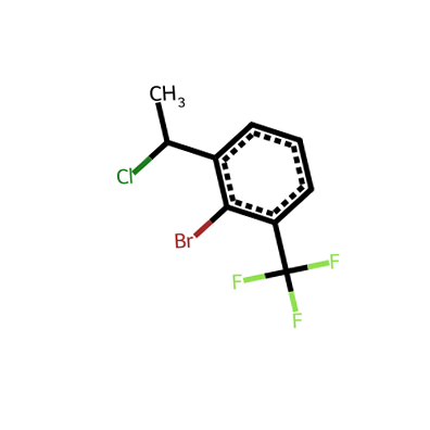 CC(Cl)c1cccc(C(F)(F)F)c1Br